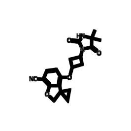 CC1(C)NC(=O)N(C2CC(Oc3ccc(C#N)c4c3C3(CC3)CO4)C2)C1=O